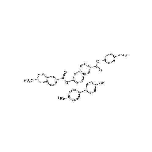 O=C(O)c1ccc(OC(=O)c2ccc3cc(OC(=O)c4ccc5cc(C(=O)O)ccc5c4)ccc3c2)cc1.Oc1ccc(-c2ccc(O)cc2)cc1